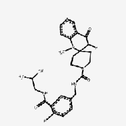 CC(O)CNC(=O)c1cc(CNC(=O)N2CCC3(CC2)C(F)C(=O)c2ccccc2N3C)ccc1F